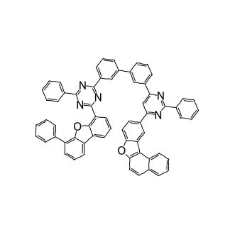 c1ccc(-c2nc(-c3cccc(-c4cccc(-c5nc(-c6ccccc6)nc(-c6cccc7c6oc6c(-c8ccccc8)cccc67)n5)c4)c3)cc(-c3ccc4oc5ccc6ccccc6c5c4c3)n2)cc1